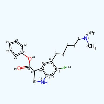 CCCN(C)CCCCCc1cc2c(cc1F)NCC2C(=O)Oc1ccccc1